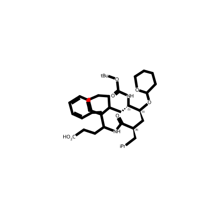 CC(C)C[C@H](C[C@H](OC1CCCCO1)[C@H](CC1CCCCC1)NC(=O)OC(C)(C)C)C(=O)NC(CCC(=O)O)Cc1ccccc1